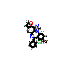 C[C@@H]1N=C(c2ccccc2Cl)c2cc(Br)ccc2-n2cnc(-c3ccco3)c21